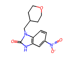 O=c1[nH]c2cc([N+](=O)[O-])ccc2n1CC1CCOCC1